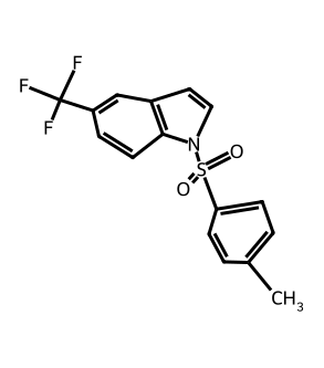 Cc1ccc(S(=O)(=O)n2ccc3cc(C(F)(F)F)ccc32)cc1